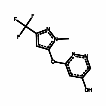 Cn1nc(C(F)(F)F)cc1Oc1cc(O)cnn1